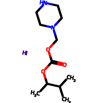 CC(C)C(C)OC(=O)OCN1CCNCC1.I